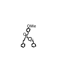 COc1ccc(CC(=O)N(C/C=C/c2ccccc2)C2CCN(Cc3ccccc3)CC2)cc1